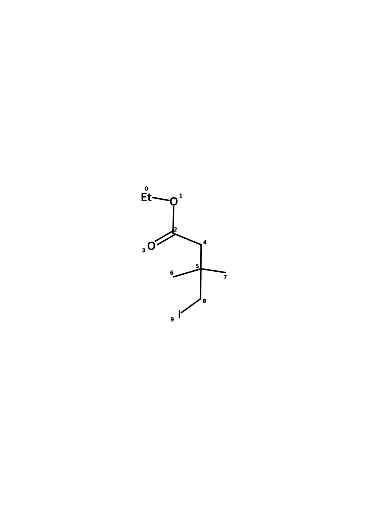 CCOC(=O)CC(C)(C)CI